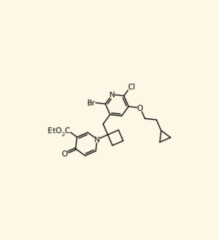 CCOC(=O)c1cn(C2(Cc3cc(OCCC4CC4)c(Cl)nc3Br)CCC2)ccc1=O